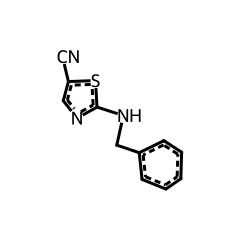 N#Cc1cnc(NCc2ccccc2)s1